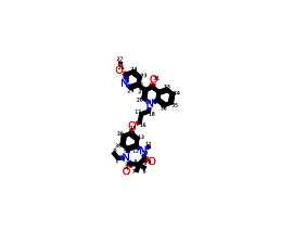 CCN1C(=O)C(C)(C)C(=O)N(C)c2cc(OCCCn3cc(-c4ccc(OC)nc4)c(=O)c4ccccc43)ccc21